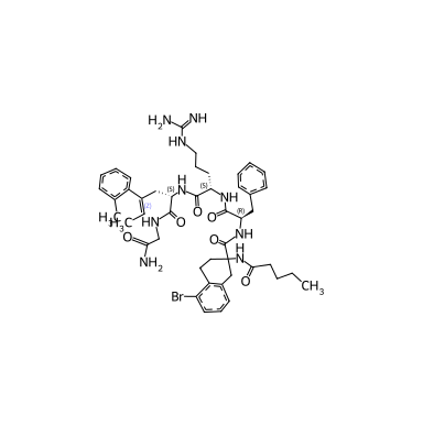 C/C=C(/C[C@H](NC(=O)[C@H](CCCNC(=N)N)NC(=O)[C@@H](Cc1ccccc1)NC(=O)C1(NC(=O)CCCC)CCc2c(Br)cccc2C1)C(=O)NCC(N)=O)c1ccccc1C